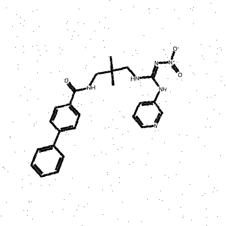 CC(C)(CNC(=O)c1ccc(-c2ccccc2)cc1)CNC(=N[N+](=O)[O-])Nc1cccnc1